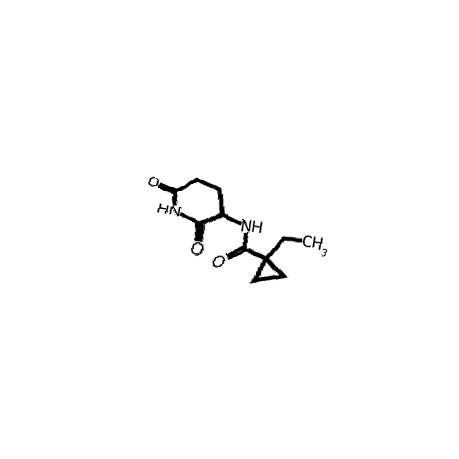 CCC1(C(=O)NC2CCC(=O)NC2=O)CC1